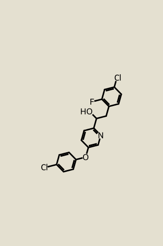 OC(Cc1ccc(Cl)cc1F)c1ccc(Oc2ccc(Cl)cc2)cn1